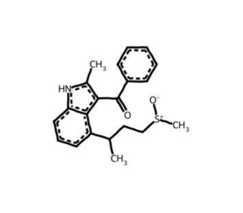 Cc1[nH]c2cccc(C(C)CC[S+](C)[O-])c2c1C(=O)c1ccccc1